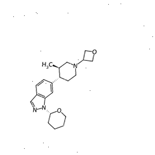 C[C@H]1CN(C2COC2)CC[C@@H]1c1ccc2cnn([C@H]3CCCCO3)c2c1